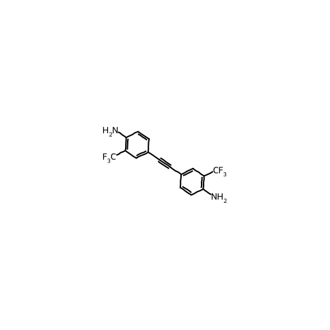 Nc1ccc(C#Cc2ccc(N)c(C(F)(F)F)c2)cc1C(F)(F)F